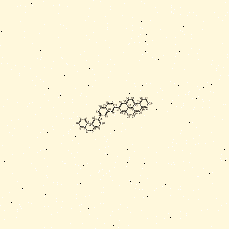 c1ccc2c(c1)ccc1ccc(-c3ccc4ccc(-c5cc6ccc7cc8ccccc8c8ccc(c5)c6c78)cc4c3)cc12